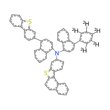 [2H]c1c([2H])c([2H])c(-c2ccc(N(c3ccc4c(c3)sc3ccc5ccccc5c34)c3ccc(-c4ccc5c(c4)sc4ccccc45)c4ccccc34)c3ccccc23)c([2H])c1[2H]